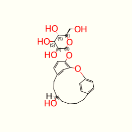 OC[C@H]1O[C@H](Oc2ccc3cc2Oc2ccc(cc2)CCCC[C@@H](O)CC3)[C@H](O)[C@@H](O)[C@@H]1O